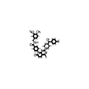 COc1ccc(CNC(=O)c2ccc(-n3c(=O)ccc4c(C)nc(N5CCC(C(=O)c6ccc(F)cc6)CC5)nc43)cc2)cc1OC